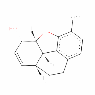 CC[C@]12c3c4ccc(OC)c3O[C@H]1[C@@H](O)C=C[C@H]2CC4